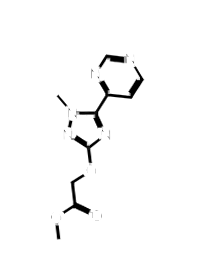 COC(=O)COc1nc(-c2ccncn2)n(C)n1